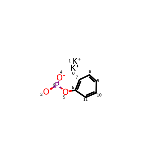 [K+].[K+].[O-]P([O-])Oc1ccccc1